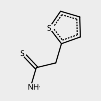 [NH]C(=S)Cc1cccs1